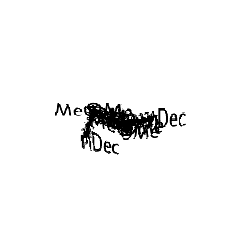 CCCCCCCCCCCCCCCCCC(SSSSSSSSC(CCCCCCCCCCCCCCCCC)[Si](OC)(OC)OC)[Si](OC)(OC)OC